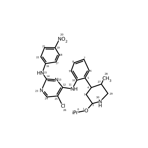 CC(C)OC1CC(c2ccccc2Nc2nc(Nc3ccc([N+](=O)[O-])cc3)ncc2Cl)C(C)CN1